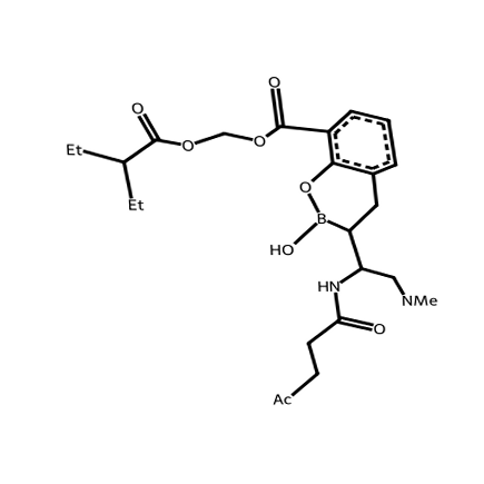 CCC(CC)C(=O)OCOC(=O)c1cccc2c1OB(O)C(C(CNC)NC(=O)CCC(C)=O)C2